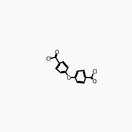 O=C(Cl)c1ccc(Oc2ccc(C(=O)Cl)cc2)cc1